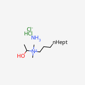 CCCCCCCCCC[N+](C)(C)C(C)O.Cl.N.[Cl-]